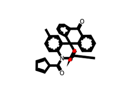 Cc1ccc2c(c1)C1(c3ccccc3C(=O)c3ccccc31)c1cc(C)ccc1N2C(=O)C1C=CC=C1